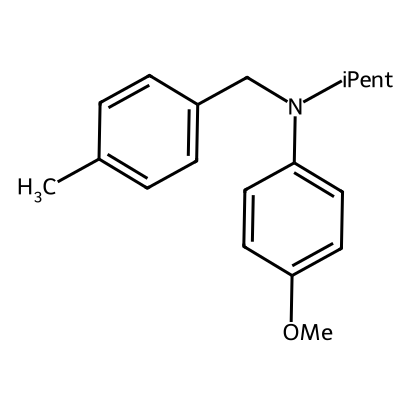 CCCC(C)N(Cc1ccc(C)cc1)c1ccc(OC)cc1